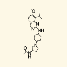 COc1ccc2cnc(Nc3ccc(N4CCC(NC(C)=O)C4)cc3)nc2c1C(C)C